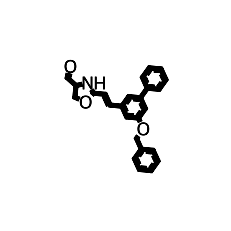 O=CC1COC(C=Cc2cc(OCc3ccccc3)cc(-c3ccccc3)c2)N1